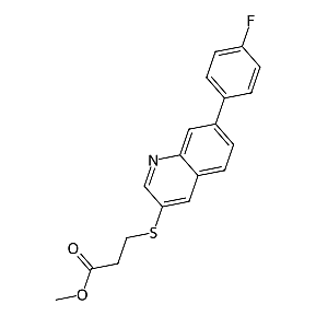 COC(=O)CCSc1cnc2cc(-c3ccc(F)cc3)ccc2c1